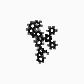 C=C/C(=C\C1=CC2C=CC=CC2O1)C1=CC=C2c3c(ccc4c3sc3ccc5c(c34)C3C=CC=CC3C=C5)N(c3nc(-c4ccccc4)nc(-c4ccccc4)n3)C2C1